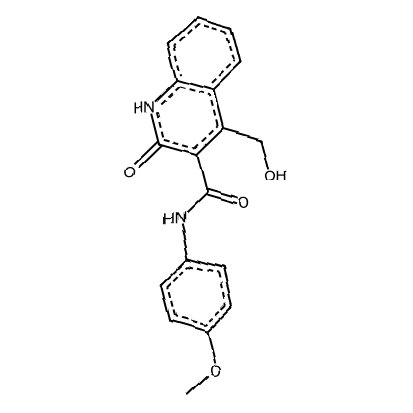 COc1ccc(NC(=O)c2c(CO)c3ccccc3[nH]c2=O)cc1